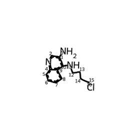 Nc1cnc2ccccc2c1NCCCCCl